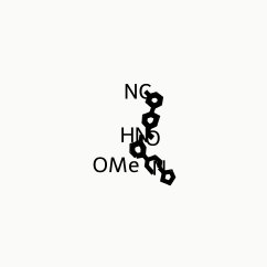 COc1ccc(NC(=O)c2ccc(-c3cccc(C#N)c3)cc2)cc1C1CCN(C2CCCC2)CC1